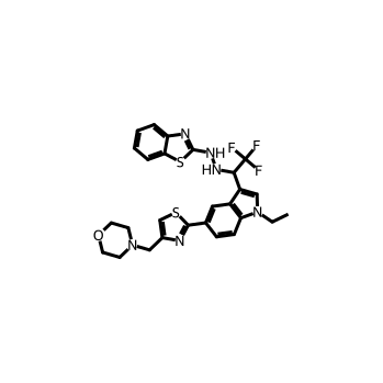 CCn1cc(C(NNc2nc3ccccc3s2)C(F)(F)F)c2cc(-c3nc(CN4CCOCC4)cs3)ccc21